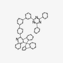 c1ccc(-c2nc(-c3ccccc3)nc(-c3cccc(-c4cccc(-c5ccc(-c6nc7ccccc7c7c6-c6ccccc6C76c7ccccc7-c7ccccc76)cc5)c4)c3)n2)cc1